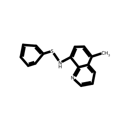 Cc1ccc(NSc2ccccc2)c2ncccc12